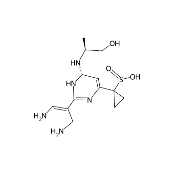 C[C@@H](CO)N[C@@H]1C=C(C2(S(=O)O)CC2)N=C(/C(=C/N)CN)N1